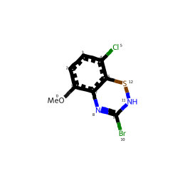 COc1ccc(Cl)c2c1N=C(Br)NS2